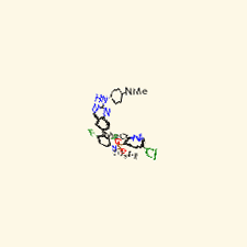 CN[C@H]1CC[C@H](Nc2ncc3cc(-c4c(F)ccc(N(C(=O)O)S(=O)(=O)c5cc(Cl)cnc5OC)c4F)ccc3n2)CC1